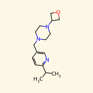 CC(C)c1ccc(CN2CCN(C3COC3)CC2)cn1